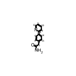 NC(=O)Cc1ccc(-c2ccccn2)cc1